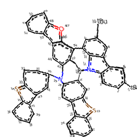 CC(C)(C)c1ccc2c(c1)c1cc(C(C)(C)C)cc3c1n2B1c2cc4sc5ccccc5c4cc2N(c2ccc4sc5ccccc5c4c2)c2cc4c(oc5ccccc54)c-3c21